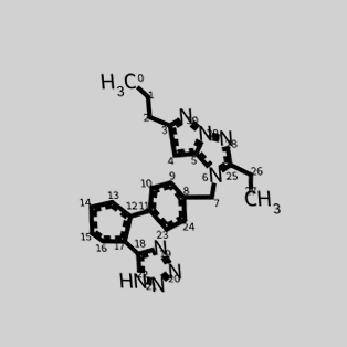 CCCc1cc2n(Cc3ccc(-c4ccccc4-c4nnn[nH]4)cc3)c(CC)nn2n1